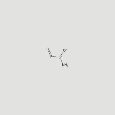 N[S+]([O-])P=O